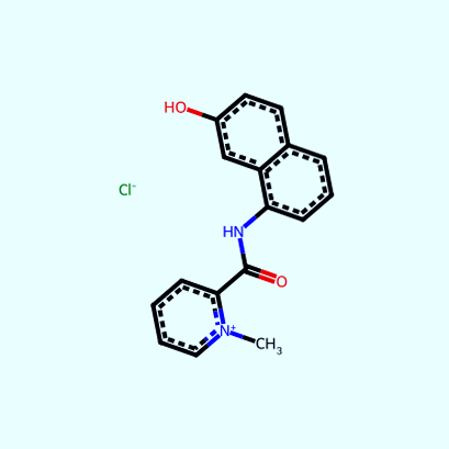 C[n+]1ccccc1C(=O)Nc1cccc2ccc(O)cc12.[Cl-]